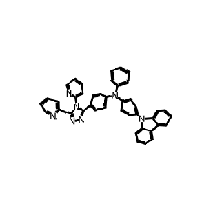 c1ccc(N(c2ccc(-c3nnc(-c4ccccn4)n3-c3ccccn3)cc2)c2ccc(-n3c4ccccc4c4ccccc43)cc2)cc1